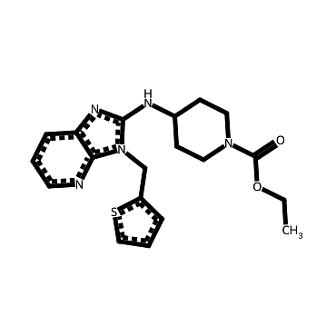 CCOC(=O)N1CCC(Nc2nc3cccnc3n2Cc2cccs2)CC1